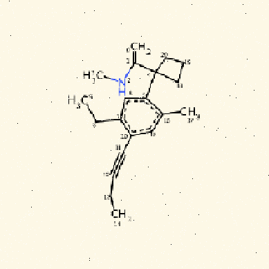 C=C(NC)C1(c2cc(CC)c(C#CCC)cc2C)CCC1